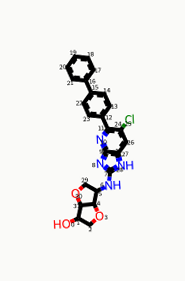 OC1COC2C(Nc3nc4nc(-c5ccc(-c6ccccc6)cc5)c(Cl)cc4[nH]3)COC12